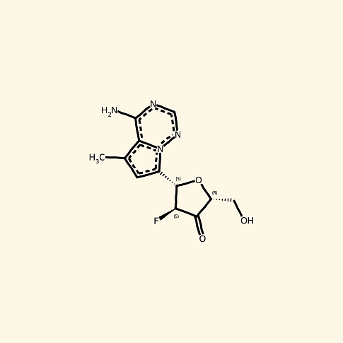 Cc1cc([C@@H]2O[C@H](CO)C(=O)[C@H]2F)n2ncnc(N)c12